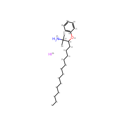 CCCCCCCCCCCCCCC(Oc1ccccc1)C(C)(C)N.I